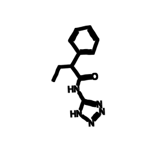 CCC(C(=O)Nc1nnn[nH]1)c1ccccc1